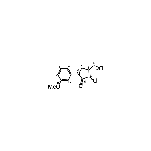 COc1cccc(N2CC(CCl)C(Cl)C2=O)c1